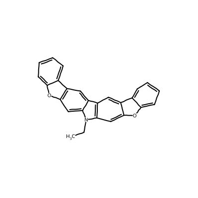 CCn1c2cc3oc4ccccc4c3cc2c2cc3c(cc21)oc1ccccc13